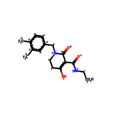 O=C(O)CNC(=O)C1=C(O)CCN(Cc2ccc(C(F)(F)F)c(C(F)(F)F)c2)C1=O